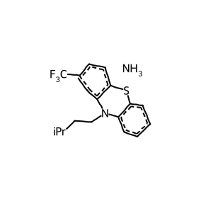 CC(C)CCN1c2ccccc2Sc2ccc(C(F)(F)F)cc21.N